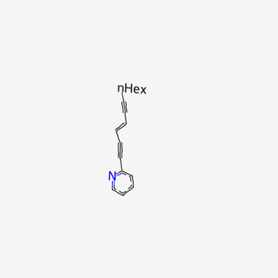 CCCCCCC#CC=CC#Cc1ccccn1